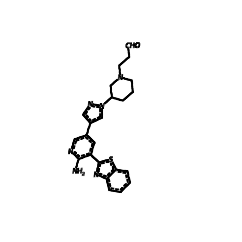 Nc1ncc(-c2cnn(C3CCCN(CCC=O)C3)c2)cc1-c1nc2ccccc2s1